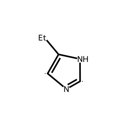 CCc1[c]n[c][nH]1